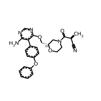 C=C(C#N)C(=O)N1CCO[C@H](COc2ncnc(N)c2-c2ccc(Oc3ccccc3)cc2)C1